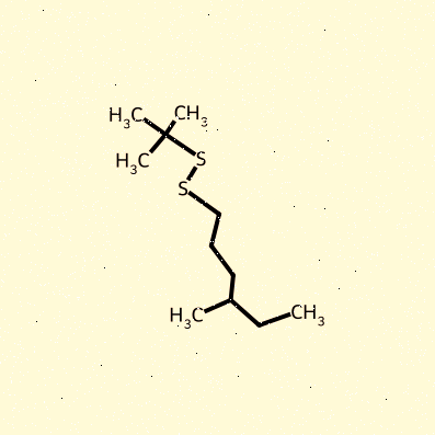 CCC(C)CCCSSC(C)(C)C